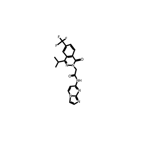 CC(C)c1nn(CC(=O)Nc2ccn3ccnc3n2)c(=O)c2ccc(C(F)(F)F)cc12